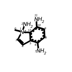 C[N+]1(N)C=Cc2c(N)ccc(N)c21